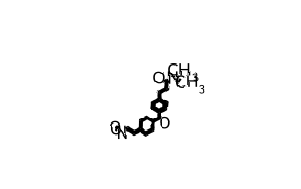 CN(C)C(=O)CCc1ccc(C(=O)C2CCC(CCN=O)CC2)cc1